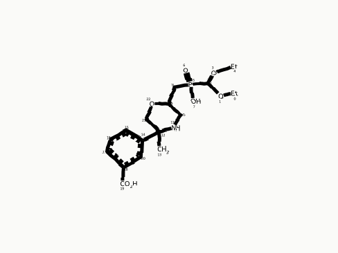 CCOC(OCC)P(=O)(O)CC1CNC(C)(c2cccc(C(=O)O)c2)CO1